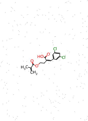 C=C(C)C(=O)OCCC(=Cc1cc(Cl)cc(Cl)c1)C(=O)O